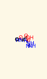 O=C(N[C@@H]1C[C@@H](C(=O)O)N(C(=O)CNC2=NCN2)C1)c1ccccc1